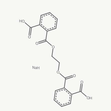 O=C(O)c1ccccc1C(=O)OCCOC(=O)c1ccccc1C(=O)O.[NaH]